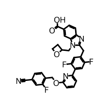 N#Cc1ccc(COc2cccc(-c3cc(F)c(Cc4nc5ccc(C(=O)O)cc5n4CC4CCO4)cc3F)n2)c(F)c1